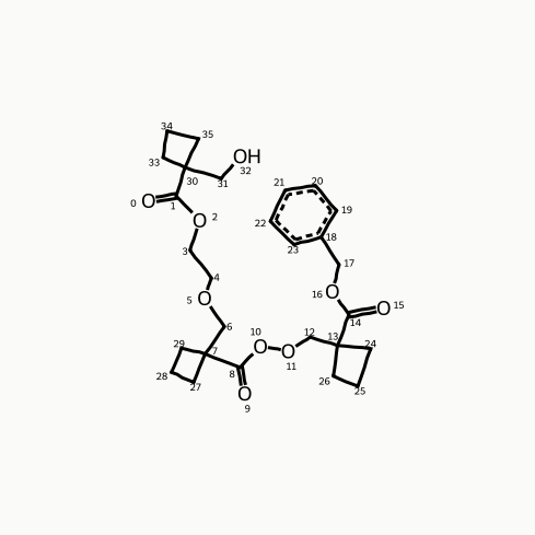 O=C(OCCOCC1(C(=O)OOCC2(C(=O)OCc3ccccc3)CCC2)CCC1)C1(CO)CCC1